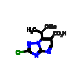 CO[C@@H](C)c1c(C(=O)O)cnc2nc(Cl)nn12